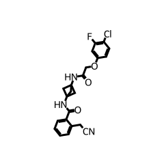 N#CCc1ccccc1C(=O)NC12CC(NC(=O)COc3ccc(Cl)c(F)c3)(C1)C2